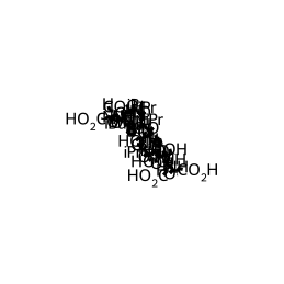 CC[C@H](C)[C@H](NC(=O)[C@H](CCC(=O)O)NC(=O)[C@H](Cc1c[nH]c2ccccc12)NC(=O)[C@H](CC(C)C)NC(=O)[C@@H](NC(=O)[C@@H](NC(=O)CNC(=O)[C@H](Cc1ccccc1)NC(=O)[C@H](CO)NC(=O)[C@@H](NC(=O)[C@H](CO)NC(=O)[C@H](CO)NC(=O)C(NC(=O)[C@H](CCC(=O)O)NC(=O)[C@@H](C)CC(=O)O)[C@@H](C)O)C(C)C)C(C)C)C(C)C)C(=O)O